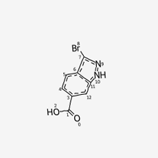 O=C(O)c1ccc2c(Br)n[nH]c2c1